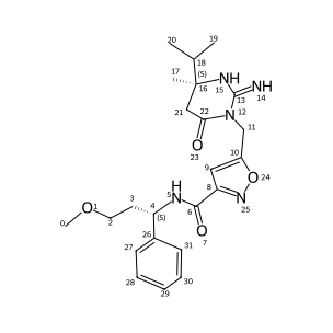 COCC[C@H](NC(=O)c1cc(CN2C(=N)N[C@](C)(C(C)C)CC2=O)on1)c1ccccc1